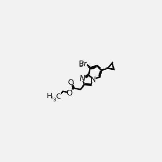 CCOC(=O)Cc1cn2cc(C3CC3)cc(Br)c2n1